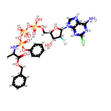 CC(NP(=O)(Oc1ccccc1)OP(=O)(O)OP(=O)(O)OC[C@H]1O[C@@H](n2cnc3c(N)nc(Cl)nc32)[C@@H](F)[C@@H]1O)C(=O)OCc1ccccc1